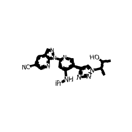 CC(C)Nc1cc(-n2ncc3cc(C#N)cnc32)ncc1-c1cn(C(C)C(C)O)nn1